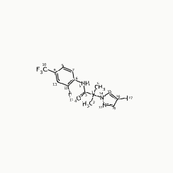 CC(C)(C(=O)Nc1ccc(C(F)(F)F)cc1F)n1cc(I)cn1